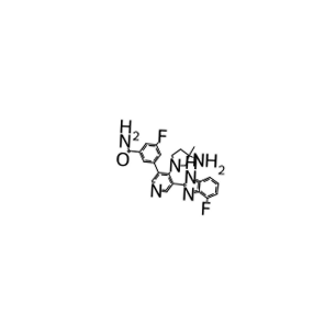 CC1(N)CCN(c2c(-c3cc(F)cc(C(N)=O)c3)cncc2-c2nc3c(F)cccc3[nH]2)C1